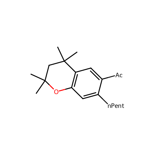 CCCCCc1cc2c(cc1C(C)=O)C(C)(C)CC(C)(C)O2